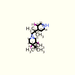 CC(C)(CN1CCC(I)(C(C)(C)C)C(I)C1)C1CCNCC1I